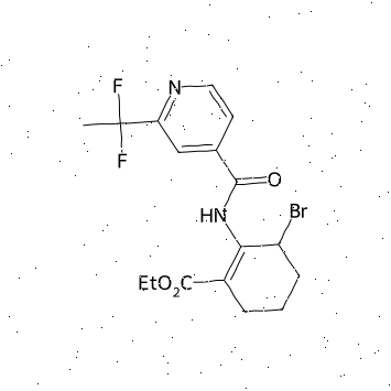 CCOC(=O)C1=C(NC(=O)c2ccnc(C(C)(F)F)c2)C(Br)CCC1